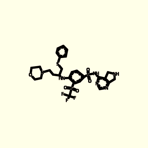 O=S(=O)(Nc1ncnc2c1CNC2)c1ccc(NC(CCN2CCOCC2)CSc2ccccc2)c(S(=O)(=O)C(F)(F)F)c1